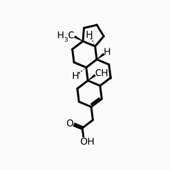 C[C@@]12CCC[C@H]1[C@@H]1CCC3C=C(CC(=O)O)CC[C@]3(C)[C@H]1CC2